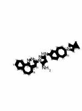 Nc1cc(Nc2ccc3c(c2)CC[C@H](N2CC4(CC4)C2)CC3)nn1-c1cc2c(nn1)-c1ccccc1CCC2